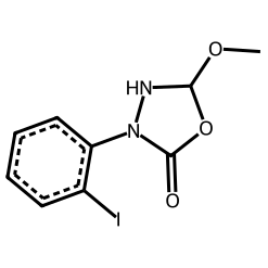 COC1NN(c2ccccc2I)C(=O)O1